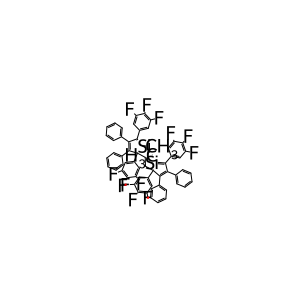 C[Si]1=C(c2cc(F)c(F)c(F)c2)C(c2ccccc2)=C(c2ccccc2)C1(CCC1(c2cc(F)c(F)c(F)c2)C(c2ccccc2)=C(c2ccccc2)C(c2cc(F)c(F)c(F)c2)=[Si]1C)c1cc(F)c(F)c(F)c1